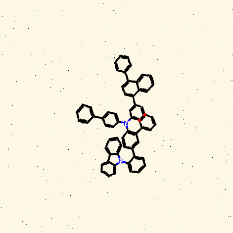 c1ccc(-c2ccc(N(c3cccc(-c4ccc(-c5ccccc5)c5ccccc45)c3)c3ccc(-c4ccccc4-n4c5ccccc5c5ccccc54)cc3-c3ccccc3)cc2)cc1